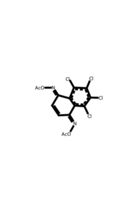 CC(=O)ON=C1C=CC(=NOC(C)=O)c2c(Cl)c(Cl)c(Cl)c(Cl)c21